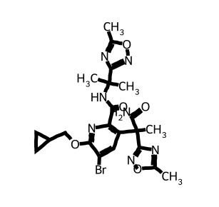 Cc1nc(C(C)(C)NC(=O)c2nc(OCC3CC3)c(Br)cc2C(C)(C(N)=O)c2noc(C)n2)no1